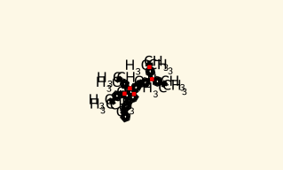 CC(C)(C)c1ccc(N2B3c4oc5ccc(C(C)(C)C)cc5c4-n4c5cc6oc7ccccc7c6cc5c5ccc(c3c54)-c3cc4c(cc32)oc2cc(N(c3ccc(C(C)(C)C)cc3)c3ccc(C(C)(C)C)cc3)ccc24)cc1